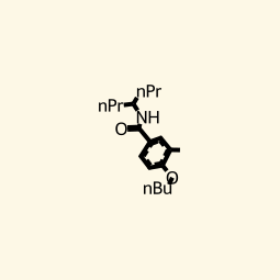 CCCCOc1ccc(C(=O)NC(CCC)CCC)cc1C